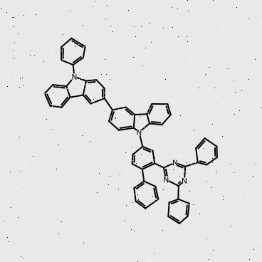 c1ccc(-c2nc(-c3ccccc3)nc(-c3cc(-n4c5ccccc5c5cc(-c6ccc7c(c6)c6ccccc6n7-c6ccccc6)ccc54)ccc3-c3ccccc3)n2)cc1